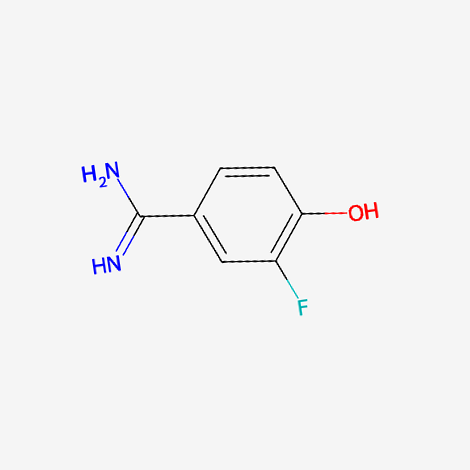 N=C(N)c1ccc(O)c(F)c1